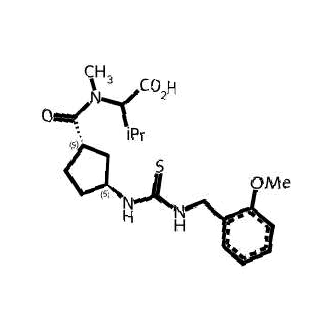 COc1ccccc1CNC(=S)N[C@H]1CC[C@H](C(=O)N(C)C(C(=O)O)C(C)C)C1